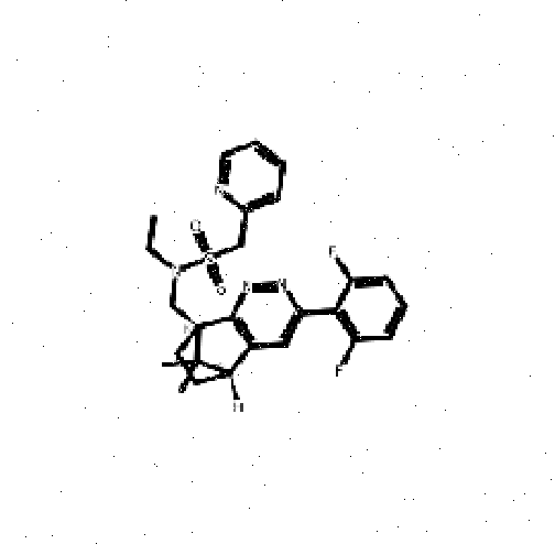 CCN(C[C@@]12CC[C@@H](c3cc(-c4c(F)cccc4F)nnc31)C2(C)C)S(=O)(=O)Cc1ccccn1